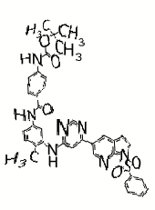 Cc1ccc(NC(=O)c2ccc(NC(=O)OC(C)(C)C)cc2)cc1Nc1cc(-c2cnc3c(ccn3S(=O)(=O)c3ccccc3)c2)ncn1